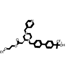 CCOCCOC(=O)C[C@H]1CN(Cc2ccncc2)CCN1Cc1ccc(-c2ccc(C(C)(O)C(F)(F)F)cc2)cc1